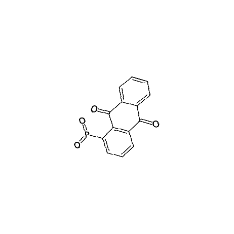 O=C1c2ccccc2C(=O)c2c1cccc2P(=O)=O